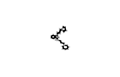 c1ccc2c(c1)c(NCCCN1CCCCCC1)nn2CCCN1CCCC1